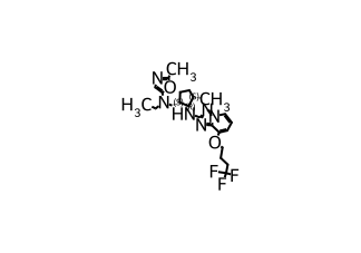 CCN(C[C@@H]1CC[C@H](C)[C@H]1Nc1nc2c(OCCCC(F)(F)F)cccn2n1)c1cnc(C)o1